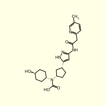 Cc1ccc(CC(=O)Nc2cc([C@@H]3CC[C@H](N(C(=O)O)[C@H]4CC[C@H](O)CC4)C3)[nH]n2)nc1